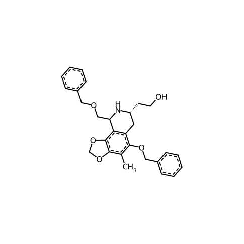 Cc1c(OCc2ccccc2)c2c(c3c1OCO3)C(COCc1ccccc1)N[C@H](CCO)C2